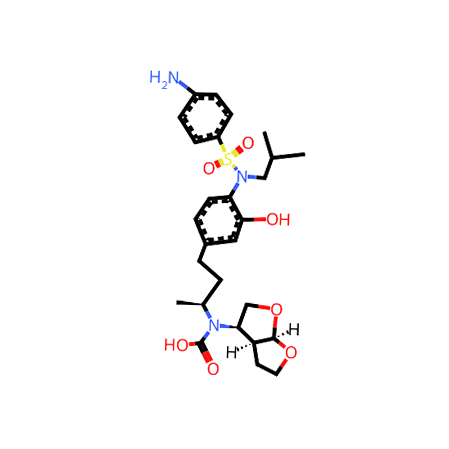 CC(C)CN(c1ccc(CC[C@H](C)N(C(=O)O)[C@H]2CO[C@H]3OCC[C@H]32)cc1O)S(=O)(=O)c1ccc(N)cc1